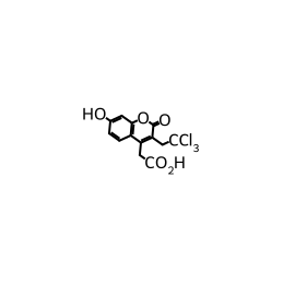 O=C(O)Cc1c(CC(Cl)(Cl)Cl)c(=O)oc2cc(O)ccc12